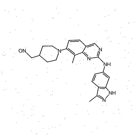 Cc1n[nH]c2cc(Nc3ncc4ccc(N5CCC(CN=O)CC5)c(C)c4n3)ccc12